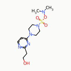 CN(C)OS(=O)(=O)N1CCN(c2ccnc(CCO)n2)CC1